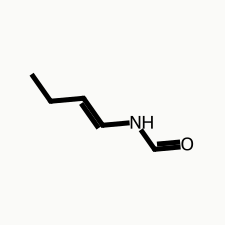 CC/C=C/NC=O